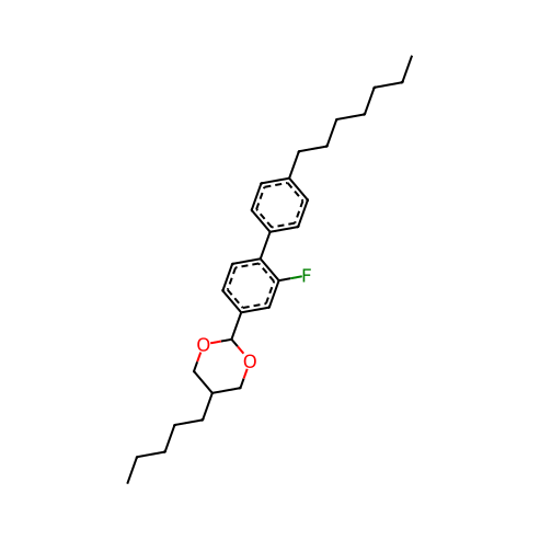 CCCCCCCc1ccc(-c2ccc(C3OCC(CCCCC)CO3)cc2F)cc1